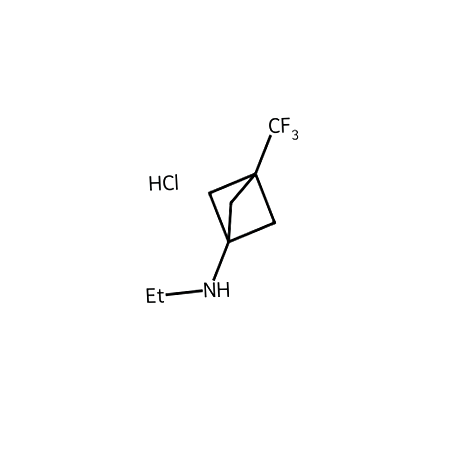 CCNC12CC(C(F)(F)F)(C1)C2.Cl